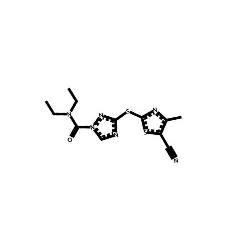 CCN(CC)C(=O)n1cnc(Sc2nc(C)c(C#N)s2)n1